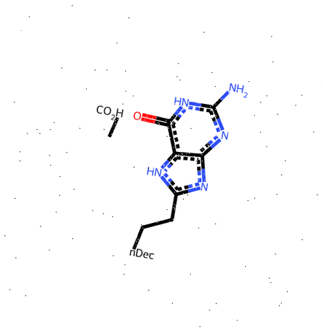 CC(=O)O.CCCCCCCCCCCCc1nc2nc(N)[nH]c(=O)c2[nH]1